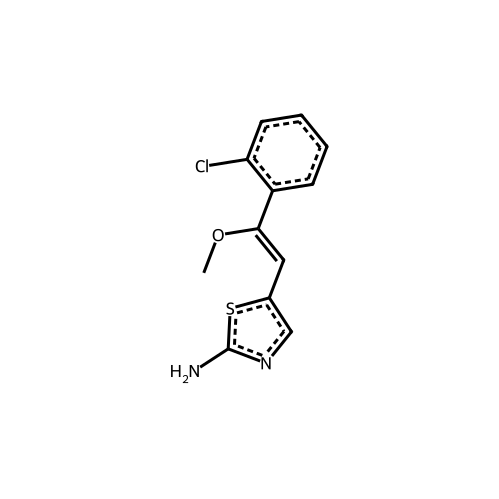 CO/C(=C\c1cnc(N)s1)c1ccccc1Cl